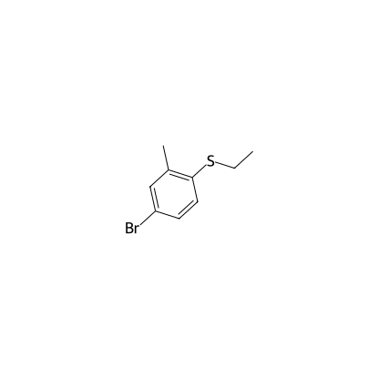 CCSc1ccc(Br)cc1C